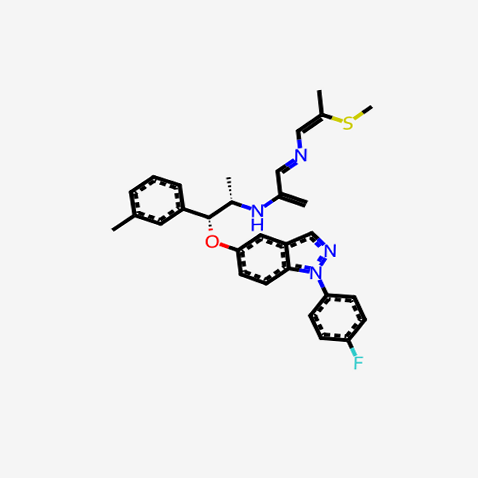 C=C(/C=N/C=C(/C)SC)N[C@@H](C)[C@H](Oc1ccc2c(cnn2-c2ccc(F)cc2)c1)c1cccc(C)c1